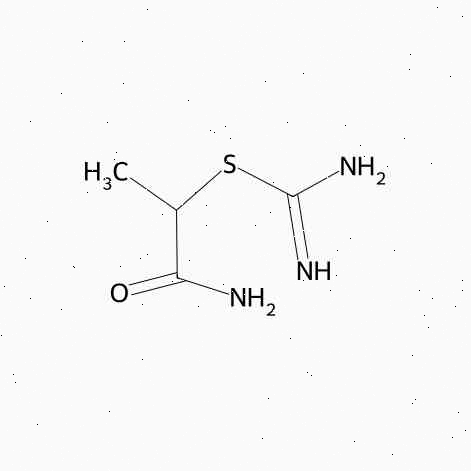 CC(SC(=N)N)C(N)=O